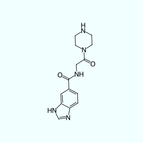 O=C(NCC(=O)N1CCNCC1)c1ccc2nc[nH]c2c1